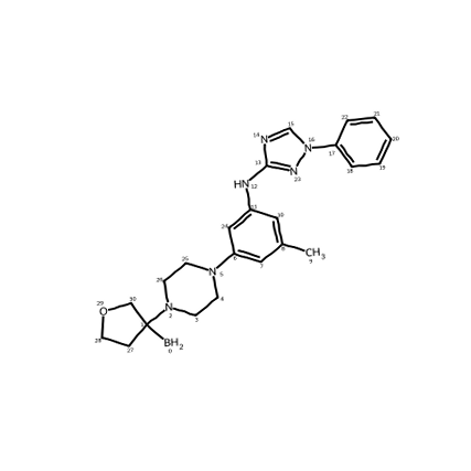 BC1(N2CCN(c3cc(C)cc(Nc4ncn(-c5ccccc5)n4)c3)CC2)CCOC1